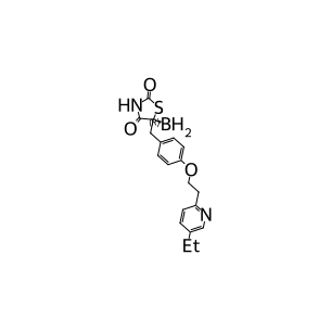 B[C@]1(Cc2ccc(OCCc3ccc(CC)cn3)cc2)SC(=O)NC1=O